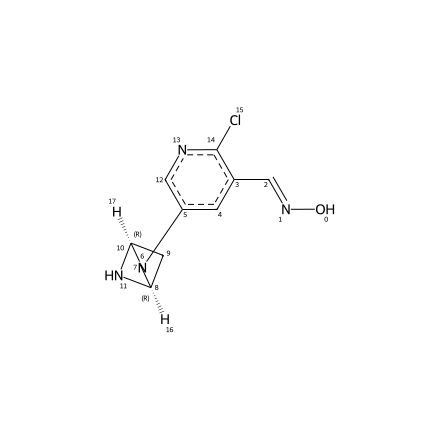 ON=Cc1cc(N2C[C@H]3C[C@@H]2N3)cnc1Cl